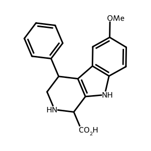 COc1ccc2[nH]c3c(c2c1)C(c1ccccc1)CNC3C(=O)O